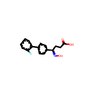 O=C(O)CC/C(=N\O)c1ccc(-c2ccccc2F)cc1